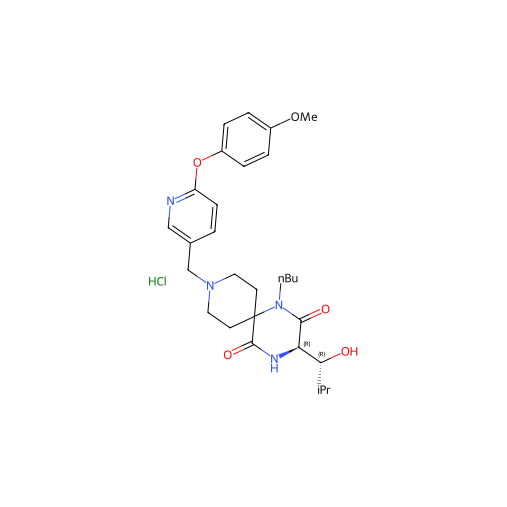 CCCCN1C(=O)[C@@H]([C@H](O)C(C)C)NC(=O)C12CCN(Cc1ccc(Oc3ccc(OC)cc3)nc1)CC2.Cl